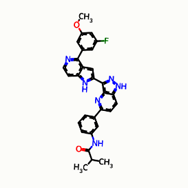 COc1cc(F)cc(-c2nccc3[nH]c(-c4n[nH]c5ccc(-c6cccc(NC(=O)C(C)C)c6)nc45)cc23)c1